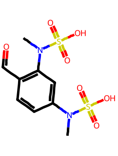 CN(c1ccc(C=O)c(N(C)S(=O)(=O)O)c1)S(=O)(=O)O